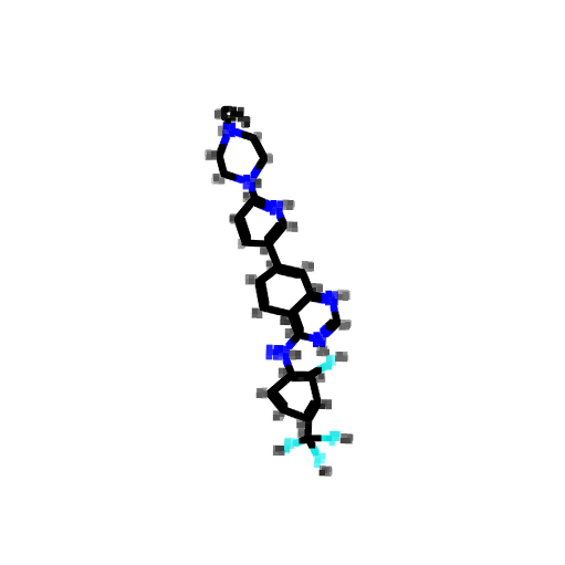 CN1CCN(c2ccc(-c3ccc4c(Nc5ccc(C(F)(F)F)cc5F)ncnc4c3)cn2)CC1